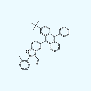 C=Cc1c(-c2ccccc2C)oc2ccc(-c3c4ccccc4c(-c4ccccc4)c4ccc(C(C)(C)C)cc34)cc12